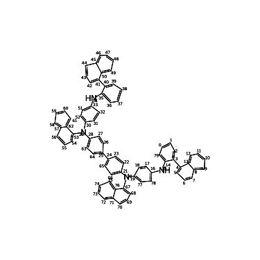 c1ccc(-c2cccc3ccccc23)c(Nc2ccc(N(c3ccc(-c4ccc(N(c5ccc(Nc6ccccc6-c6cccc7ccccc67)cc5)c5cccc6ccccc56)cc4)cc3)c3cccc4ccccc34)cc2)c1